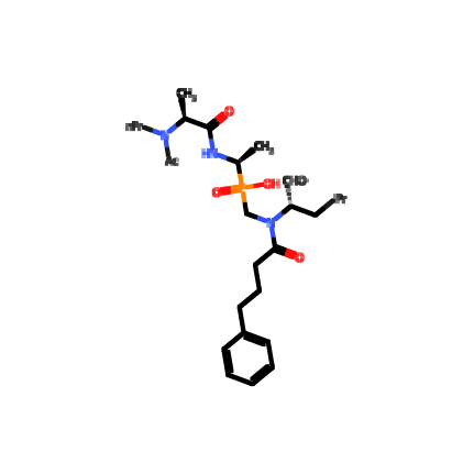 CCCN(C(C)=O)[C@@H](C)C(=O)N[C@@H](C)P(=O)(O)CN(C(=O)CCCc1ccccc1)[C@H]([C]=O)CC(C)C